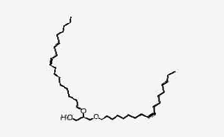 CCCCCCCC/C=C\CCCCCCCCOCC(CO)OCCCCCCCC/C=C\CCCCCCCC